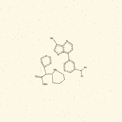 CCN(C(C)=O)c1cccc(-c2ccnc3c(C#N)cnn23)c1.COC(=O)C(c1ccccc1)C1CCCCN1